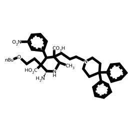 CCCCOCCC1(C(=O)O)C(c2cccc([N+](=O)[O-])c2)C(CCCN2CCC(c3ccccc3)(c3ccccc3)CC2)(C(=O)O)C(C)N[C@@H]1N